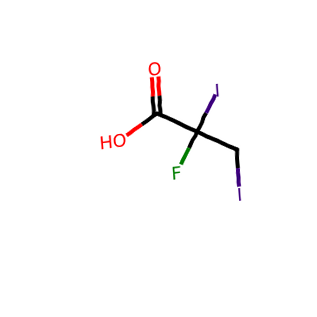 O=C(O)C(F)(I)CI